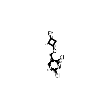 FC1CC(OCc2cnc(Cl)nc2Cl)C1